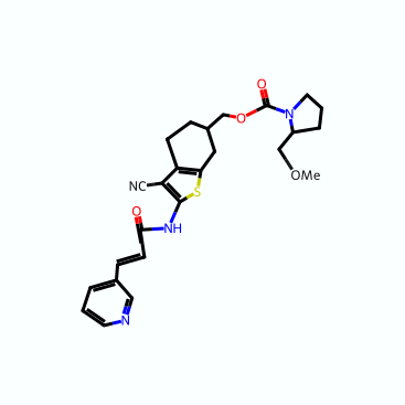 COCC1CCCN1C(=O)OCC1CCc2c(sc(NC(=O)C=Cc3cccnc3)c2C#N)C1